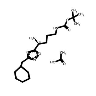 CC(=O)O.CC(C)(C)OC(=O)NCCC[C@H](N)c1nc(CC2CCCCC2)no1